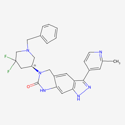 Cc1cc(-c2n[nH]c3cc4c(cc23)CN([C@@H]2CN(Cc3ccccc3)CC(F)(F)C2)C(=O)N4)ccn1